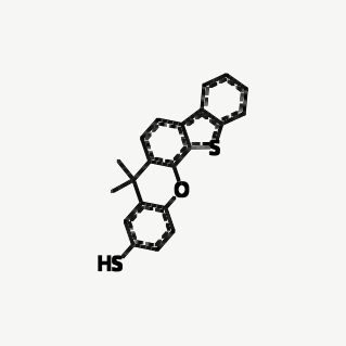 CC1(C)c2cc(S)ccc2Oc2c1ccc1c2sc2ccccc21